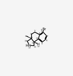 C[C@@]12CCc3c(Br)cccc3[C@@H]1CNC2